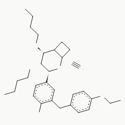 CCCCO[C@@H]1[C@@H](OCCCC)[C@H](c2ccc(Cl)c(Cc3ccc(OCC)cc3)c2)O[C@]2(C#N)CC[C@H]12